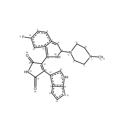 CN1CCN(C2C=c3ccc(F)cc3=C(C3=C(c4c[nH]c5sccc45)C(=O)NC3=O)N2)CC1